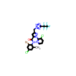 Cc1cc(Cl)cc(Br)c1NC(=O)c1cc(Cn2nnc(C(F)(F)C(F)(F)F)n2)nn1-c1ncccc1Cl